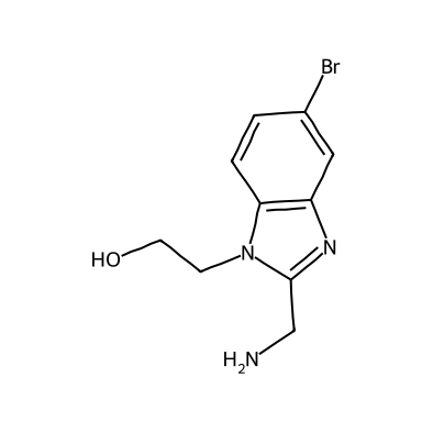 NCc1nc2cc(Br)ccc2n1CCO